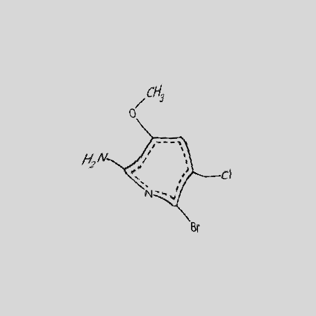 COc1cc(Cl)c(Br)nc1N